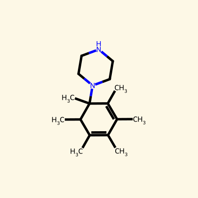 CC1=C(C)C(C)C(C)(N2CCNCC2)C(C)=C1C